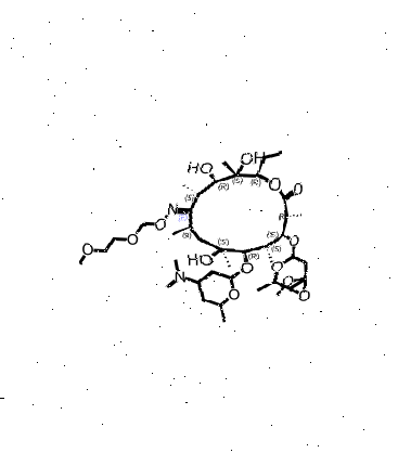 CC[C@H]1OC(=O)[C@H](C)[C@@H](OC2CC3(OC)OC3C(C)O2)[C@H](C)[C@@H](OC2CC(N(C)C)CC(C)O2)[C@@](C)(O)C[C@@H](C)/C(=N\OCOCCOC)[C@H](C)[C@@H](O)[C@]1(C)O